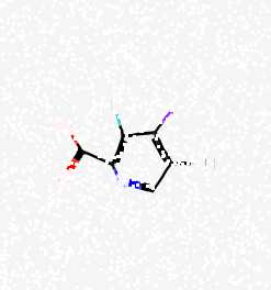 Cc1cnc(C(=O)O)c(F)c1I